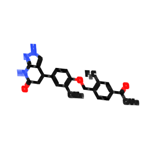 COC(=O)c1ccc(COc2ccc(C3CC(=O)Nc4n[nH]cc43)cc2OC)c(C(F)(F)F)c1